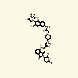 O=C1CCC(N2C(=O)c3cccc(NCc4cn(C5CCN(CC(=O)Nc6ccc7c(F)c(N8CC(=O)NS8(=O)=O)c(O)cc7c6)CC5)nn4)c3C2=O)C(=O)N1